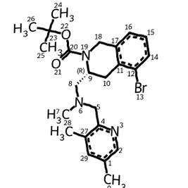 Cc1cnc(CN(C)C[C@H]2Cc3c(Br)cccc3CN2C(=O)OC(C)(C)C)c(C)c1